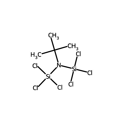 CC(C)(C)N([Si](Cl)(Cl)Cl)[Si](Cl)(Cl)Cl